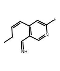 CC/C=C\c1cc(F)ncc1C=N